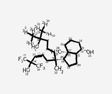 [2H]C([2H])([2H])C(O)(CCCC(C)(C/C=C\C(O)(C(F)(F)F)C(F)(F)F)[C@H]1CCC2[C@@H](O)CCC[C@@]21C)C([2H])([2H])[2H]